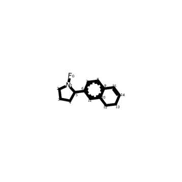 FN1CCCC1c1ccc2c(c1)CCC=C2